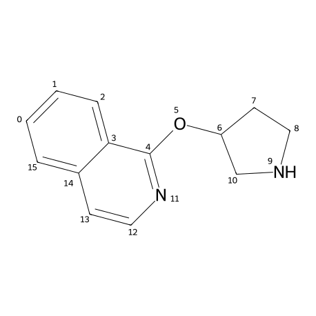 c1ccc2c(OC3CCNC3)nccc2c1